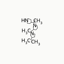 CC(C)C1CCN([C@H](C)C2CCCN([C@H](C)C3CCNCC3)C2)C1